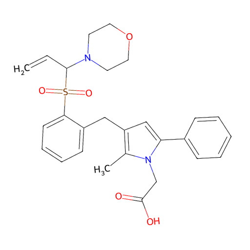 C=CC(N1CCOCC1)S(=O)(=O)c1ccccc1Cc1cc(-c2ccccc2)n(CC(=O)O)c1C